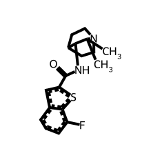 CC1(C)C(NC(=O)c2cc3cccc(F)c3s2)C2CCN1CC2